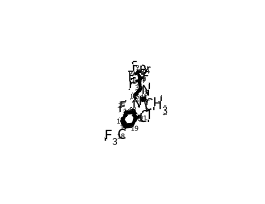 Cc1nc(C(F)(F)C(F)(F)Br)cn1-c1c(F)cc(C(F)(F)F)cc1Cl